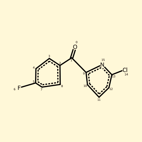 O=C(c1ccc(F)cc1)c1cccc(Cl)n1